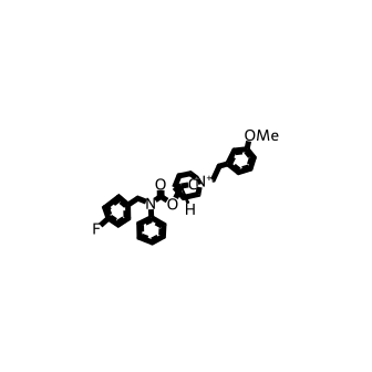 COc1cccc(CC[N+]23CCC(CC2)[C@@H](OC(=O)N(Cc2ccc(F)cc2)c2ccccc2)C3)c1